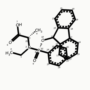 CCN([C@@H](C)C(=O)O)[P@@](=O)(OC1c2ccccc2-c2ccccc21)c1ccccc1